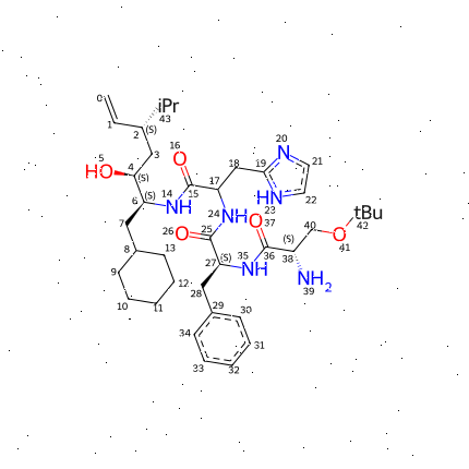 C=C[C@@H](C[C@H](O)[C@H](CC1CCCCC1)NC(=O)C(Cc1ncc[nH]1)NC(=O)[C@H](Cc1ccccc1)NC(=O)[C@@H](N)COC(C)(C)C)C(C)C